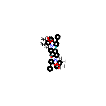 [2H]c1c([2H])c([2H])c(N(c2c(F)ccc(-c3ccccc3)c2-c2ccccc2)c2ccc3ccc4c(N(c5c([2H])c([2H])c([2H])c([2H])c5[2H])c5c(F)ccc(-c6ccccc6)c5-c5ccccc5)ccc5ccc2c3c54)c([2H])c1[2H]